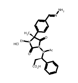 CCN1C(=O)N(N(C(C)=O)[C@H](CC(=O)O)c2ccccc2)C(=O)[C@@]1(C)c1ccc(C=NN)cc1.Cl